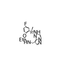 CC[C@H]1CNCc2cnn3ccc(nc23)N[C@H](C)c2cc(F)ccc2O1